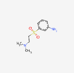 CN(C)CCS(=O)(=O)c1cccc(N)c1